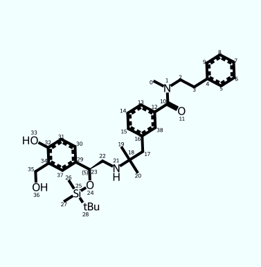 CN(CCc1ccccc1)C(=O)c1cccc(CC(C)(C)NC[C@@H](O[Si](C)(C)C(C)(C)C)c2ccc(O)c(CO)c2)c1